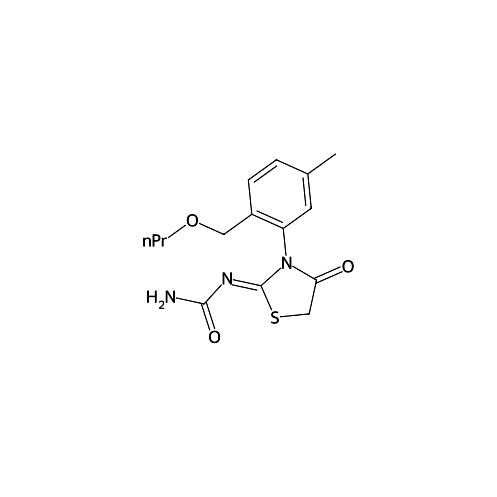 CCCOCc1ccc(C)cc1N1C(=O)CSC1=NC(N)=O